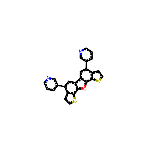 c1cncc(-c2cc3c4cc(-c5cccnc5)c5ccsc5c4oc3c3sccc23)c1